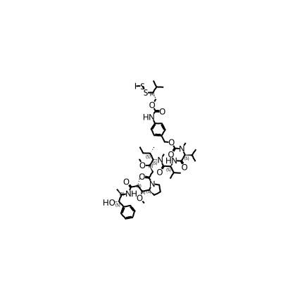 CC[C@H](C)[C@@H]([C@@H](CC(=O)N1CCC[C@H]1[C@H](OC)[C@@H](C)C(=O)N[C@H](C)[C@@H](O)c1ccccc1)OC)N(C)C(=O)[C@@H](NC(=O)[C@H](C(C)C)N(C)C(=O)OCc1ccc(NC(=O)OC[C@H](SSI)C(C)C)cc1)C(C)C